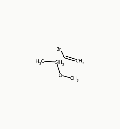 C=CBr.CO[SiH2]C